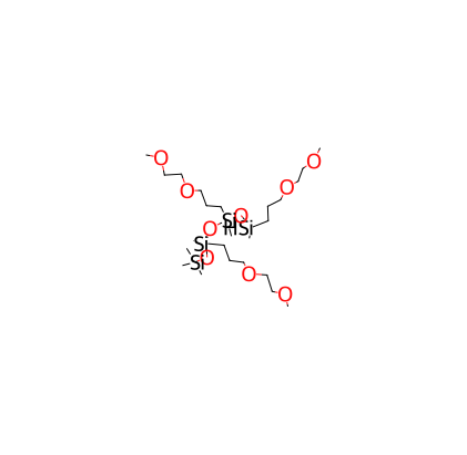 COCCOCCC[SiH](C)O[Si](C)(CCCOCCOC)O[Si](C)(CCCOCCOC)O[Si](C)(C)C